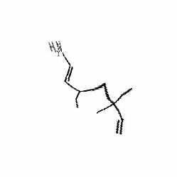 C=CC(C)(C)CC(C)/C=C/N